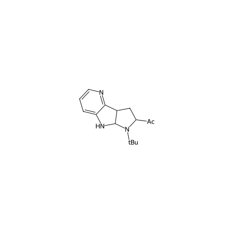 CC(=O)C1CC2c3ncccc3NC2N1C(C)(C)C